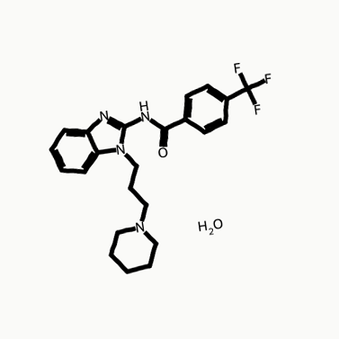 O.O=C(Nc1nc2ccccc2n1CCCN1CCCCC1)c1ccc(C(F)(F)F)cc1